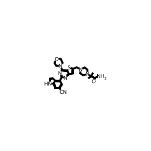 CC(C)(C(N)=O)N1CCN(Cc2cc3nc(-c4cc(C#N)cc5[nH]ccc45)nc(N4CCOCC4)c3s2)CC1